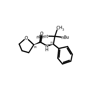 CCCCCC(C)(CCCC)[C@H](NC(=O)[C@H]1CCCO1)c1ccccc1